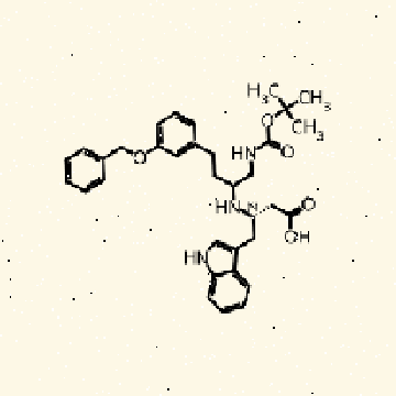 CC(C)(C)OC(=O)NCC(CCc1cccc(OCc2ccccc2)c1)N[C@H](CC(=O)O)Cc1c[nH]c2ccccc12